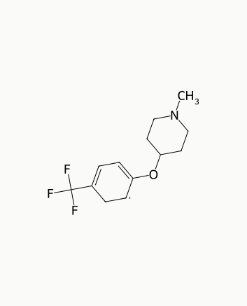 CN1CCC(OC2=CC=C(C(F)(F)F)C[CH]2)CC1